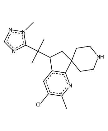 Cc1nc2c(cc1Cl)C(C(C)(C)c1ncnn1C)CC21CCNCC1